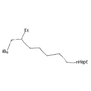 [CH2]C(CC)CC(CC)CCCCCCCCCCCC